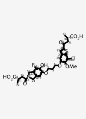 COc1c(OCCCOc2cc3c(c(F)c2O)CN(C(=O)C[C@H](C)C(=O)O)C3)cc2cc(C(=O)C[C@H](C)C(=O)O)sc2c1Cl